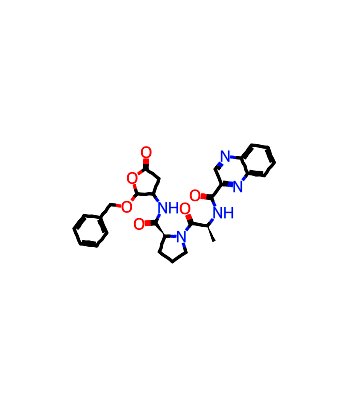 C[C@H](NC(=O)c1cnc2ccccc2n1)C(=O)N1CCC[C@H]1C(=O)NC1CC(=O)OC1OCc1ccccc1